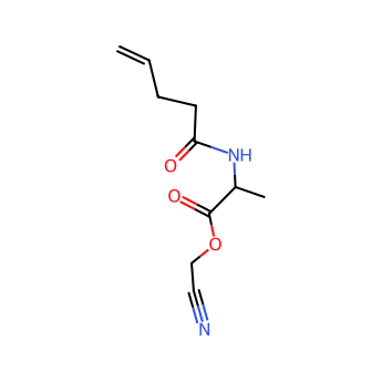 C=CCCC(=O)NC(C)C(=O)OCC#N